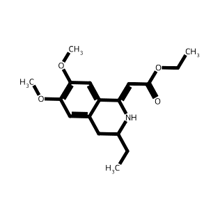 CCOC(=O)C=C1NC(CC)Cc2cc(OC)c(OC)cc21